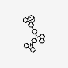 c1ccc2c(c1)-c1ccc(-c3ccc(N(c4ccc(-n5c6ccccc6c6ccccc65)cc4)c4cccc5ccccc45)cc3)cc1C1CC3CC(CC2C3)C1